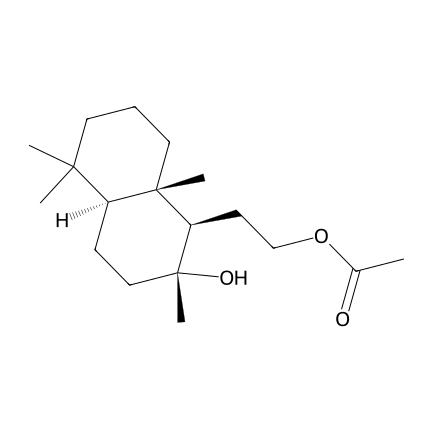 CC(=O)OCC[C@@H]1[C@@]2(C)CCCC(C)(C)[C@@H]2CC[C@@]1(C)O